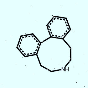 c1ccc2c(c1)CCNCCc1ccccc1-2